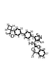 CC(=O)C1(c2ccc(-c3ccc(-c4snc(C)c4NC(=O)O[C@H](C)c4ccccc4)cc3)cc2)CCC1